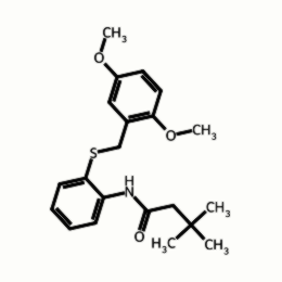 COc1ccc(OC)c(CSc2ccccc2NC(=O)CC(C)(C)C)c1